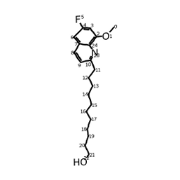 COc1cc(F)cc2ccc(CCCCCCCCCCCO)nc12